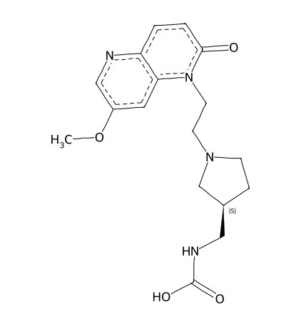 COc1cnc2ccc(=O)n(CCN3CC[C@@H](CNC(=O)O)C3)c2c1